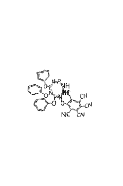 N#Cc1c(C#N)c(C#N)c(On2[pH][nH]pnp(Oc3ccccc3)n(Oc3ccccc3)p2Oc2ccccc2)c(C#N)c1C#N